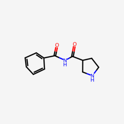 O=C(NC(=O)C1CCNC1)c1ccccc1